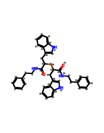 O=C(NCCc1ccccc1)C(Cc1c[nH]c2ccccc12)SC(Cc1c[nH]c2ccccc12)C(=O)NCCc1ccccc1